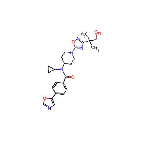 CC(C)(CO)c1noc(N2CCC(N(C(=O)c3ccc(-c4cnco4)cc3)C3CC3)CC2)n1